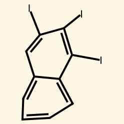 Ic1cc2ccccc2c(I)c1I